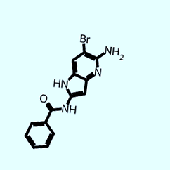 Nc1nc2cc(NC(=O)c3ccccc3)[nH]c2cc1Br